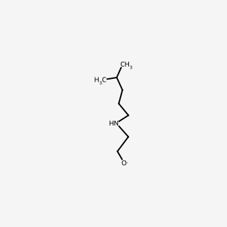 CC(C)CCCNCC[O]